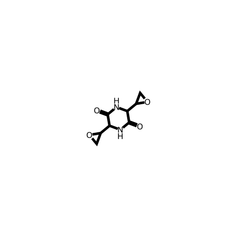 O=C1NC(C2CO2)C(=O)NC1C1CO1